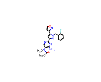 COC(=O)N(C)c1cnc(-c2cc(-c3ccon3)n(Cc3ccccc3F)n2)nc1N